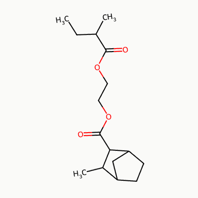 CCC(C)C(=O)OCCOC(=O)C1C2CCC(C2)C1C